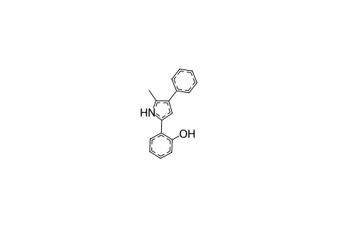 Cc1[nH]c(-c2ccccc2O)cc1-c1ccccc1